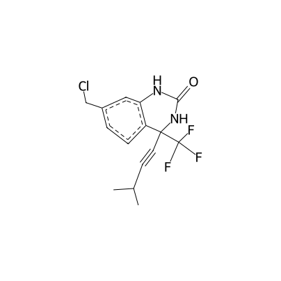 CC(C)C#CC1(C(F)(F)F)NC(=O)Nc2cc(CCl)ccc21